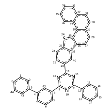 c1ccc(-c2cccc(-c3nc(-c4ccccc4)nc(-c4ccc5sc6c(ccc7ccc8ccccc8c76)c5c4)n3)c2)cc1